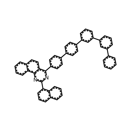 c1ccc(-c2cccc(-c3cccc(-c4ccc(-c5ccc(-c6nc(-c7cccc8ccccc78)nc7c6ccc6ccccc67)cc5)cc4)c3)c2)cc1